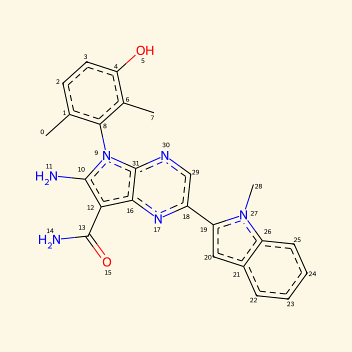 Cc1ccc(O)c(C)c1-n1c(N)c(C(N)=O)c2nc(-c3cc4ccccc4n3C)cnc21